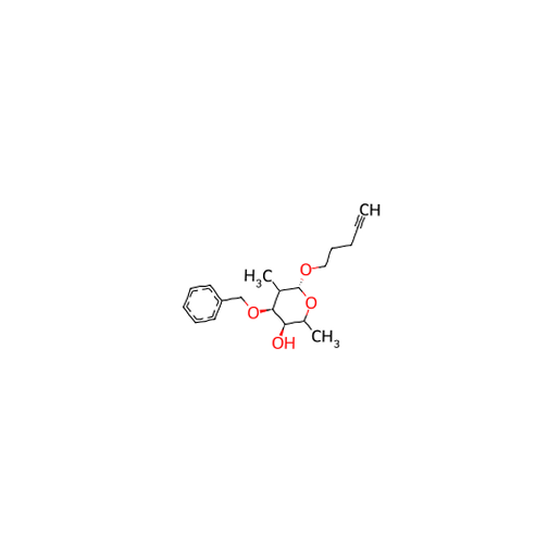 C#CCCCO[C@@H]1OC(C)[C@@H](O)[C@@H](OCc2ccccc2)C1C